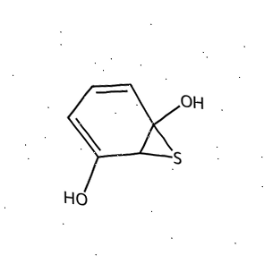 OC1=CC=CC2(O)SC12